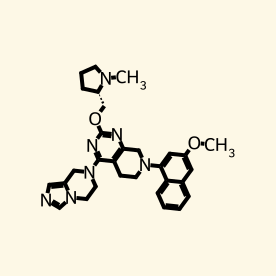 COc1cc(N2CCc3c(nc(OC[C@@H]4CCCN4C)nc3N3CCn4cncc4C3)C2)c2ccccc2c1